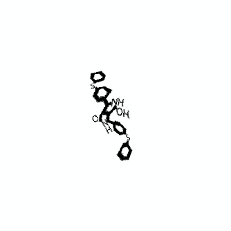 O=C1NC(c2ccc(Sc3ccccc3)cc2)=C2C1=C(c1ccc(Sc3ccccc3)cc1)NC2O